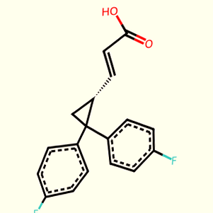 O=C(O)/C=C/[C@H]1CC1(c1ccc(F)cc1)c1ccc(F)cc1